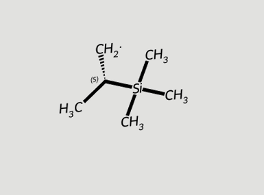 [CH2][C@@H](C)[Si](C)(C)C